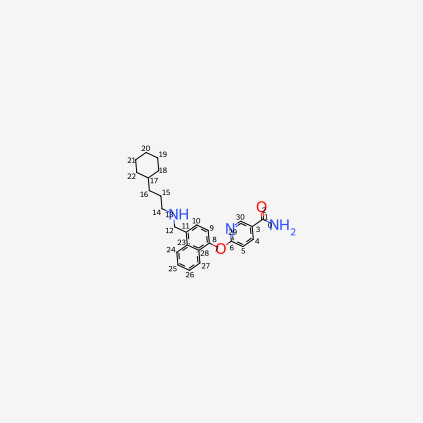 NC(=O)c1ccc(Oc2ccc(CNCCCC3CCCCC3)c3ccccc23)nc1